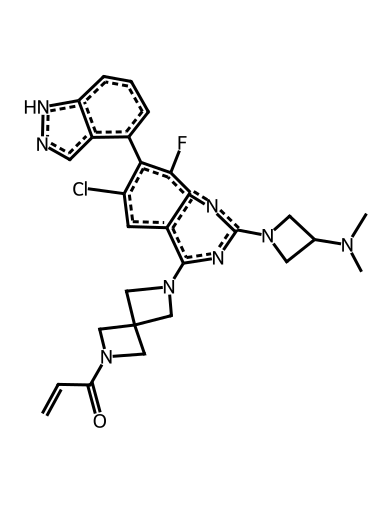 C=CC(=O)N1CC2(C1)CN(c1nc(N3CC(N(C)C)C3)nc3c(F)c(-c4cccc5[nH]ncc45)c(Cl)cc13)C2